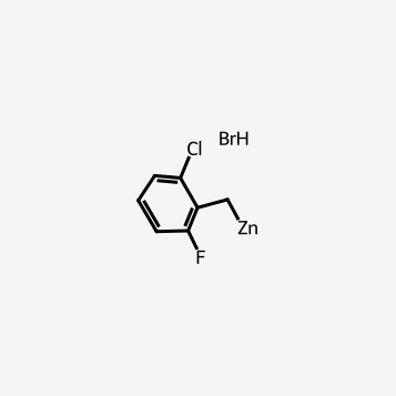 Br.Fc1cccc(Cl)c1[CH2][Zn]